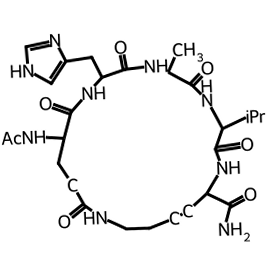 CC(=O)NC1CCC(=O)NCCCCC(C(N)=O)NC(=O)C(C(C)C)NC(=O)C(C)NC(=O)C(Cc2c[nH]cn2)NC1=O